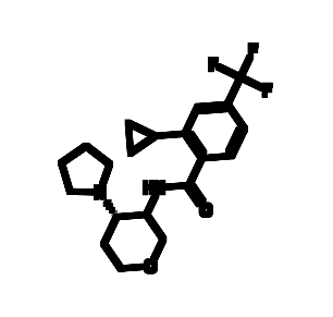 O=C(NC1COCC[C@@H]1N1CCCC1)c1ccc(C(F)(F)F)cc1C1CC1